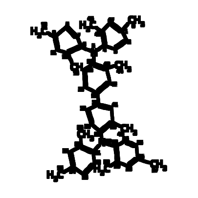 Cc1ccc(N(c2ccc(C)cc2C)c2ccc(-c3ccc(N(c4ccc(C)cc4C)c4ccc(C)cc4C)c(C)c3)cc2C)c(C)c1